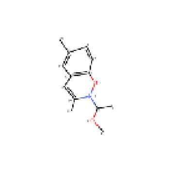 COC(C)N1Oc2ccc(C)cc2C=C1C